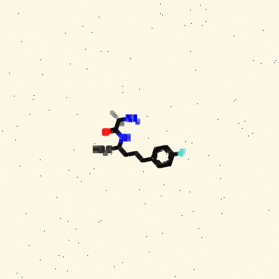 C[C@H](N)C(=O)NC(CCCc1ccc(F)cc1)C(=O)O